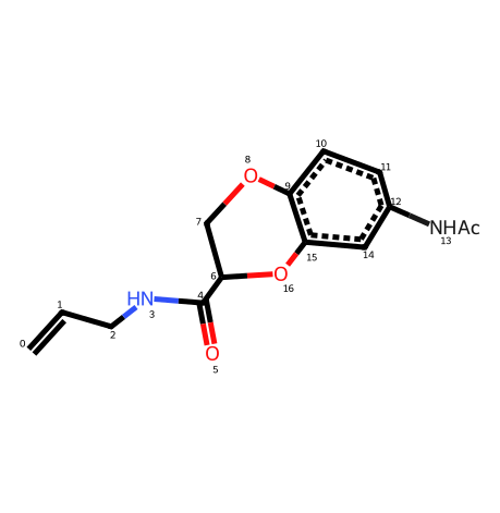 C=CCNC(=O)C1COc2ccc(NC(C)=O)cc2O1